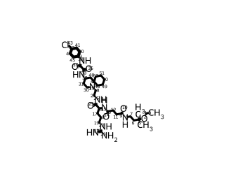 CCOC(C)(C)CCNC(=O)CCC(=O)NC(CCCNC(=N)N)C(=O)NCCN1CCC(NC(=O)C(=O)Nc2ccc(Cl)cc2)CC12CCCCC2